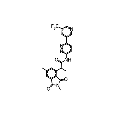 Cc1cc2c(c(C(C)C(=O)Nc3ccc(-c4cncc(C(F)(F)F)c4)nn3)c1)C(=O)N(C)C2=O